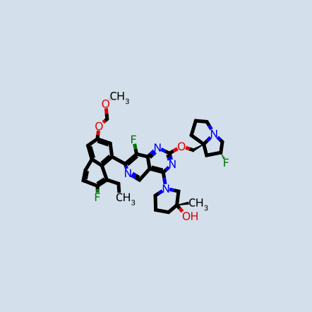 CCc1c(F)ccc2cc(OCOC)cc(-c3ncc4c(N5CCC[C@@](C)(O)C5)nc(OC[C@@]56CCCN5C[C@H](F)C6)nc4c3F)c12